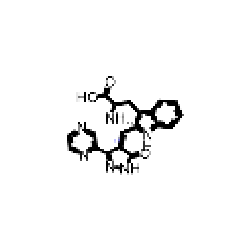 NC(Cc1c(/C=C2\C(=O)NN=C2c2cnccn2)[nH]c2ccccc12)C(=O)O